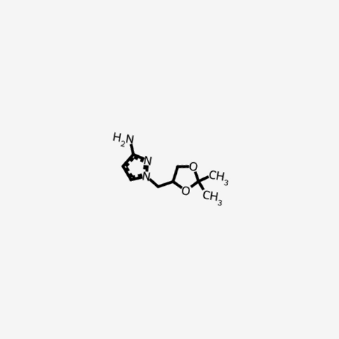 CC1(C)OCC(Cn2ccc(N)n2)O1